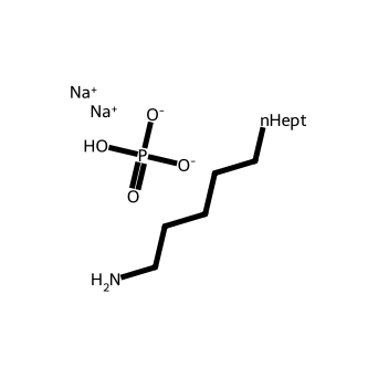 CCCCCCCCCCCCN.O=P([O-])([O-])O.[Na+].[Na+]